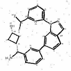 NC(c1cccc(-c2ccc3cnn(-c4cccc(C(F)F)n4)c3c2)n1)[C@H]1C[C@@H](O)C1